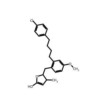 COc1ccc(CC2OC(O)=CC2C)c(CCCCc2ccc(Cl)cc2)c1